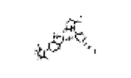 Cc1noc(C)c1-c1ccc2[nH]c([C@@H]3CCC(=O)N3c3ccc(C(F)(F)F)cc3)nc2c1